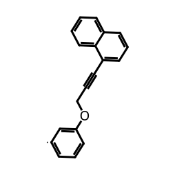 C(#Cc1cccc2ccccc12)COc1c[c]ccc1